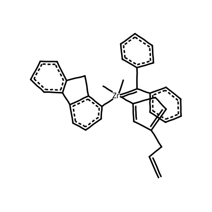 C=CCC1=CC[C]([Zr]([CH3])([CH3])(=[C](c2ccccc2)c2ccccc2)[c]2cccc3c2Cc2ccccc2-3)=C1